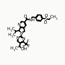 CCS(=O)(=O)c1ccc(CNC(=O)c2cnc3c(c2)CN(c2ncc([C@@H](C)O)c(C(F)(F)F)n2)C3C(C)C)cc1